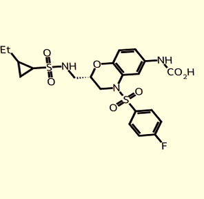 CCC1CC1S(=O)(=O)NC[C@H]1CN(S(=O)(=O)c2ccc(F)cc2)c2cc(NC(=O)O)ccc2O1